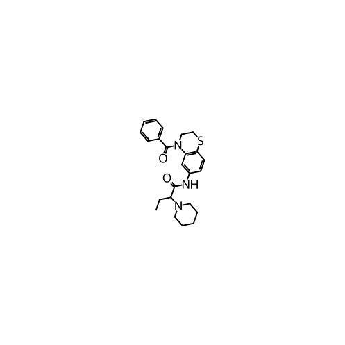 CCC(C(=O)Nc1ccc2c(c1)N(C(=O)c1ccccc1)CCS2)N1CCCCC1